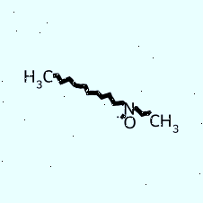 CCCCCCCCCCCCN([C]=O)CCCC